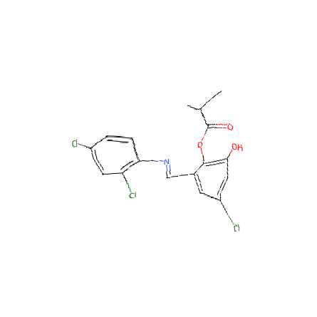 CC(C)C(=O)Oc1c(O)cc(Cl)cc1C=Nc1ccc(Cl)cc1Cl